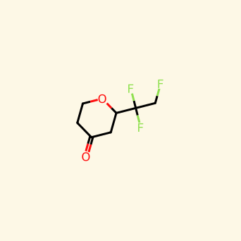 O=C1CCOC(C(F)(F)CF)C1